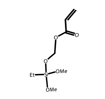 C=CC(=O)OCO[Si](CC)(OC)OC